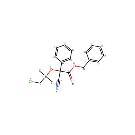 C[Si](C)(CCl)OC(C#N)(C(=O)OCc1ccccc1)c1ccccc1